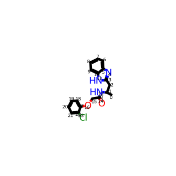 CC(Cc1nc2ccccc2[nH]1)NC(=O)COc1ccccc1Cl